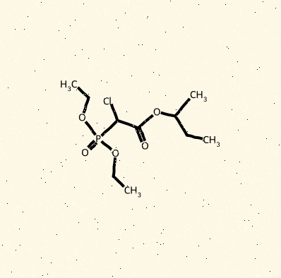 CCOP(=O)(OCC)C(Cl)C(=O)OC(C)CC